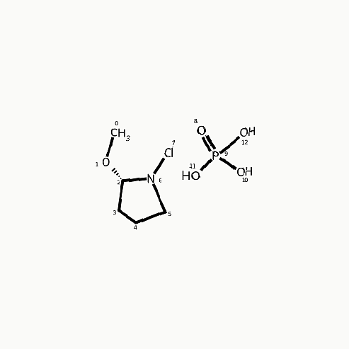 CO[C@H]1CCCN1Cl.O=P(O)(O)O